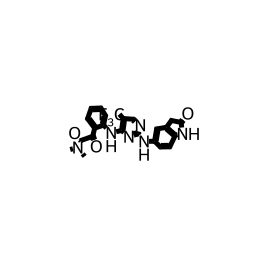 CN(C)C(=O)C(=O)c1ccccc1Nc1nc(Nc2ccc3c(c2)CC(=O)N3)ncc1C(F)(F)F